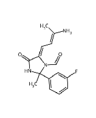 C/C(N)=C\C=C1\C(=O)NC(C)(c2cccc(F)c2)N1C=O